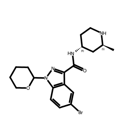 C[C@H]1C[C@H](NC(=O)c2nn(C3CCCCO3)c3ccc(Br)cc23)CCN1